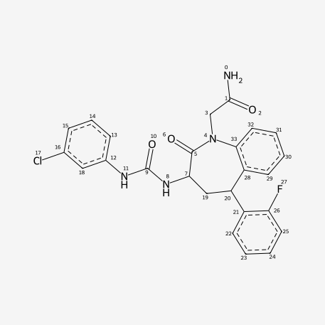 NC(=O)CN1C(=O)C(NC(=O)Nc2cccc(Cl)c2)CC(c2ccccc2F)c2ccccc21